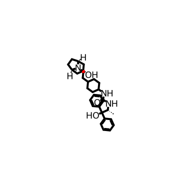 C[C@@H](NC(=O)NC1CCC(CCN2[C@@H]3CC[C@H]2CC(O)C3)CC1)C(O)(c1ccccc1)c1ccccc1